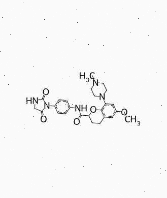 COc1cc2c(c(N3CCN(C)CC3)c1)OC(C(=O)Nc1ccc(N3C(=O)CNC3=O)cc1)CC2